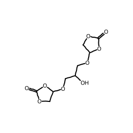 O=C1OCC(OCC(O)COC2COC(=O)O2)O1